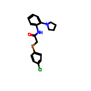 O=C(CSc1ccc(Cl)cc1)Nc1ccccc1N1CCCC1